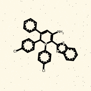 NC1=C(c2nc3ccccc3s2)N(c2ccc(Cl)cc2)C(c2ccc(Cl)cc2)C(c2ccccc2)=C1